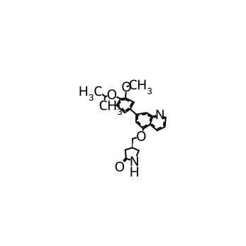 COc1cc(-c2cc(OC[C@H]3CNC(=O)C3)c3cccnc3c2)ccc1OC(C)C